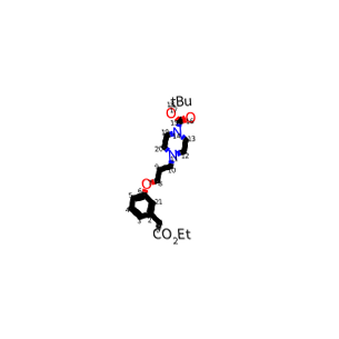 CCOC(=O)Cc1cccc(OCCCN2CCN(C(=O)OC(C)(C)C)CC2)c1